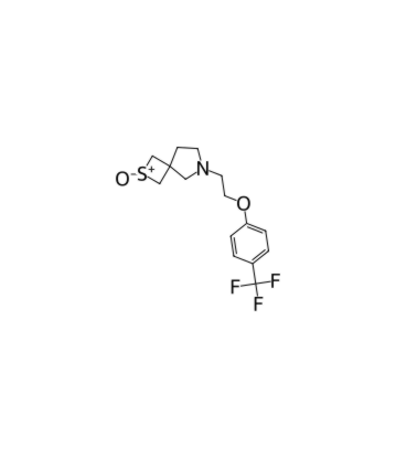 [O-][S+]1CC2(CCN(CCOc3ccc(C(F)(F)F)cc3)C2)C1